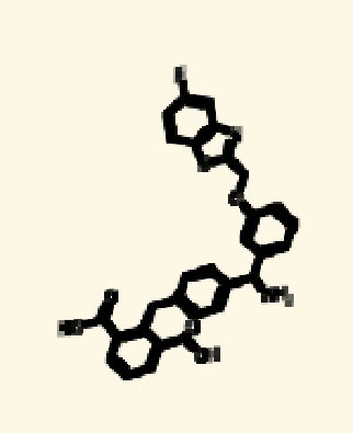 NC(c1ccc(Cc2c(C(=O)O)cccc2C(=O)O)cc1)c1cccc(OCc2nc3cc(F)ccc3s2)c1